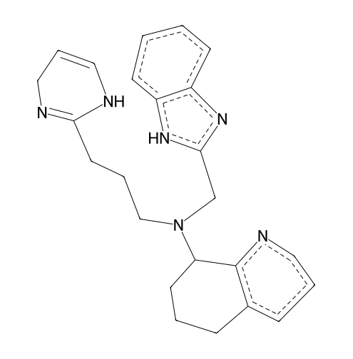 C1=CNC(CCCN(Cc2nc3ccccc3[nH]2)C2CCCc3cccnc32)=NC1